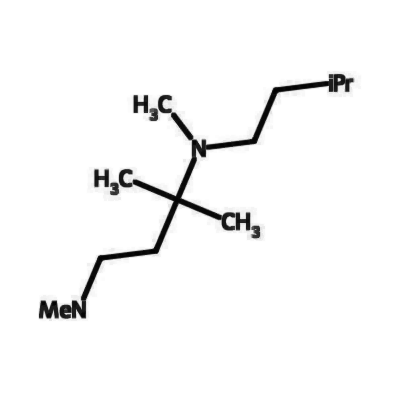 CNCCC(C)(C)N(C)CCC(C)C